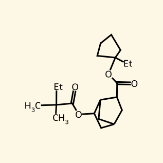 CCC1(OC(=O)C2CC3CC(OC(=O)C(C)(C)CC)C2C3)CCCC1